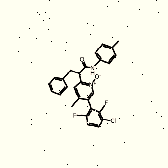 Cc1ccc(NC(=O)C(Cc2ccccc2)c2cc(C)c(-c3c(F)ccc(Cl)c3F)c[n+]2[O-])cc1